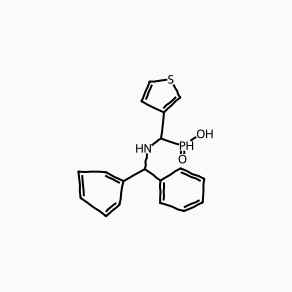 O=[PH](O)C(NC(c1ccccc1)c1ccccc1)c1ccsc1